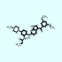 C=CC(=O)Nc1cc(N2CCN(C)CC2)ccc1Nc1ccc2c(C(=O)c3cc(OC)cc(OC)c3)c[nH]c2n1